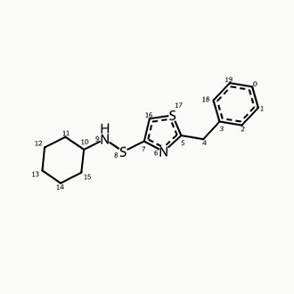 c1ccc(Cc2nc(SNC3CCCCC3)cs2)cc1